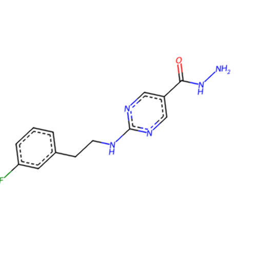 NNC(=O)c1cnc(NCCc2cccc(F)c2)nc1